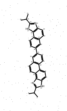 CC(C)c1nc2c(ccc3c4ccc(-c5ccc6c(ccc7nc(C(C)C)[nH]c76)c5)cc4ccc32)[nH]1